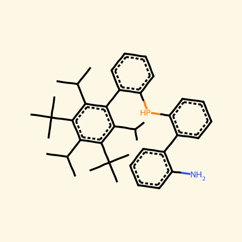 CC(C)c1c(-c2ccccc2Pc2ccccc2-c2ccccc2N)c(C(C)C)c(C(C)(C)C)c(C(C)C)c1C(C)(C)C